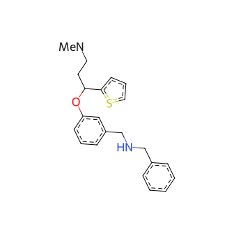 CNCCC(Oc1cccc(CNCc2ccccc2)c1)c1cccs1